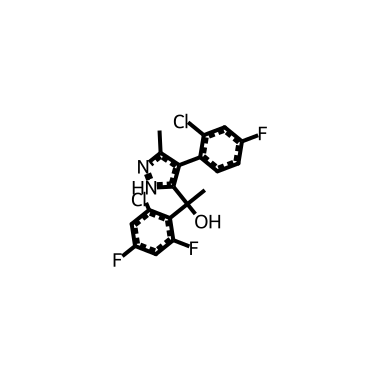 Cc1n[nH]c(C(C)(O)c2c(F)cc(F)cc2Cl)c1-c1ccc(F)cc1Cl